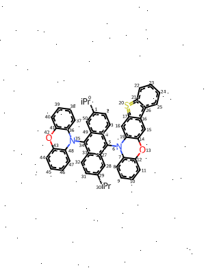 CC(C)c1ccc2c(N3c4ccccc4Oc4cc5c(cc43)sc3ccccc35)c3cc(C(C)C)ccc3c(N3c4ccccc4Oc4ccccc43)c2c1